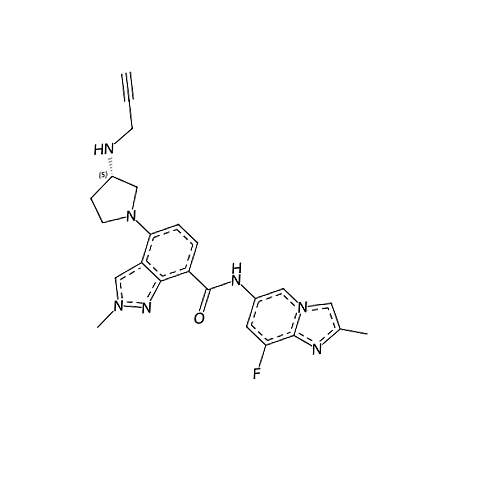 C#CCN[C@H]1CCN(c2ccc(C(=O)Nc3cc(F)c4nc(C)cn4c3)c3nn(C)cc23)C1